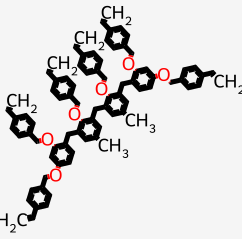 C=Cc1ccc(COc2ccc(Cc3cc(C)cc(Cc4cc(C)cc(Cc5ccc(OCc6ccc(C=C)cc6)cc5OCc5ccc(C=C)cc5)c4OCc4ccc(C=C)cc4)c3OCc3ccc(C=C)cc3)c(OCc3ccc(C=C)cc3)c2)cc1